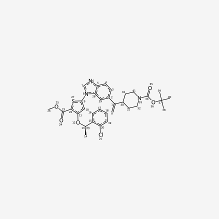 C=C(c1ccc2ncn(-c3cc(O[C@H](C)c4ccccc4Cl)c(C(=O)OC)s3)c2c1)C1CCN(C(=O)OC(C)(C)C)CC1